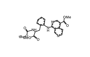 COC(=O)c1cnc(Nc2ccccc2CC(NC(=O)OC(C)(C)C)C(=O)OC)c2cnccc12